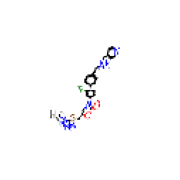 Cn1nnnc1SC[C@H]1CN(c2ccc(-c3ccc(CNCc4ccncc4)cc3)c(F)c2)C(=O)O1